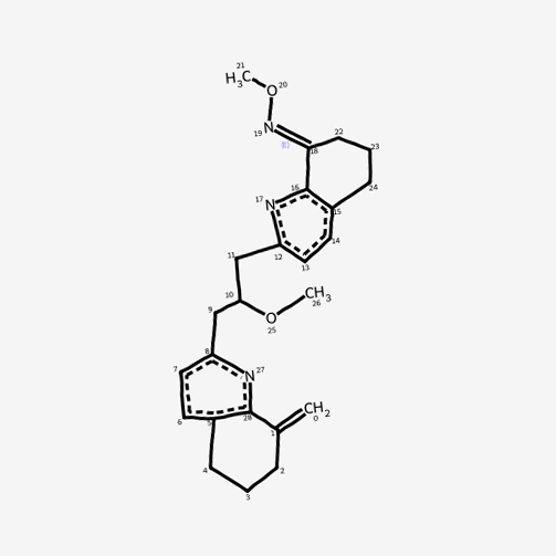 C=C1CCCc2ccc(CC(Cc3ccc4c(n3)/C(=N/OC)CCC4)OC)nc21